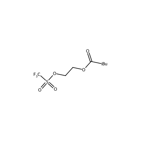 CCC(C)C(=O)OCCOS(=O)(=O)C(F)(F)F